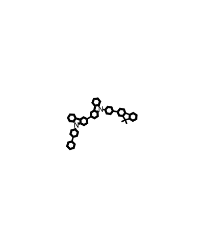 CC1(C)c2ccccc2-c2ccc(-c3ccc(-n4c5ccccc5c5cc(-c6ccc7c(c6)c6ccccc6n7-c6ccc(-c7ccccc7)cc6)ccc54)cc3)cc21